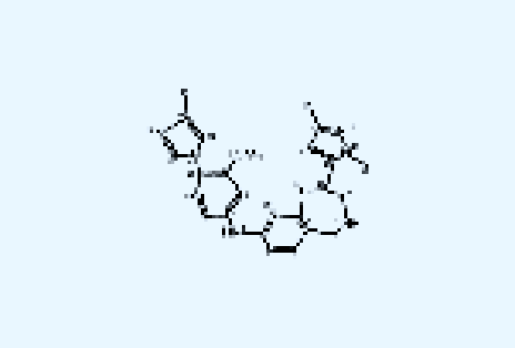 COc1cc(Nc2ccc3c(n2)OC(c2cc(C)nn2C)CNC3)ccc1-n1cnc(C)c1